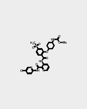 CC(C)(C)OC(=O)NC1CCC(Oc2cc(S(C)(=O)=O)ccc2C(=O)Nc2cccnc2C(=O)Nc2ccc(Cl)cn2)CC1